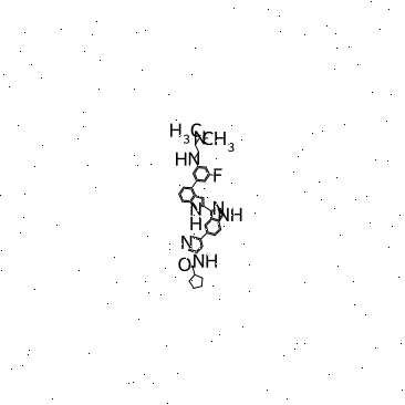 CN(C)CCNc1cc(F)cc(-c2cccc3[nH]c(-c4n[nH]c5ccc(-c6cncc(NC(=O)C7CCCC7)c6)cc45)cc23)c1